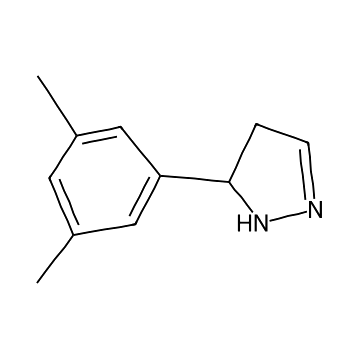 Cc1cc(C)cc(C2CC=NN2)c1